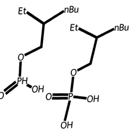 CCCCC(CC)COP(=O)(O)O.CCCCC(CC)CO[PH](=O)O